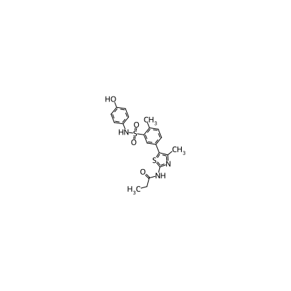 CCC(=O)Nc1nc(C)c(-c2ccc(C)c(S(=O)(=O)Nc3ccc(O)cc3)c2)s1